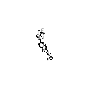 CCS(C)(=O)=NCc1cn2cc(-c3noc(C(F)(F)F)n3)ccc2n1